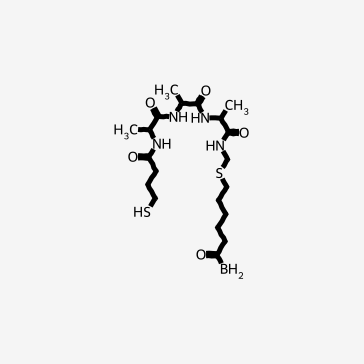 BC(=O)CCCCCSCNC(=O)C(C)NC(=O)C(C)NC(=O)C(C)NC(=O)CCCS